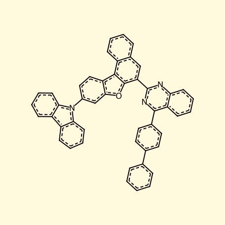 c1ccc(-c2ccc(-c3nc(-c4cc5ccccc5c5c4oc4cc(-n6c7ccccc7c7ccccc76)ccc45)nc4ccccc34)cc2)cc1